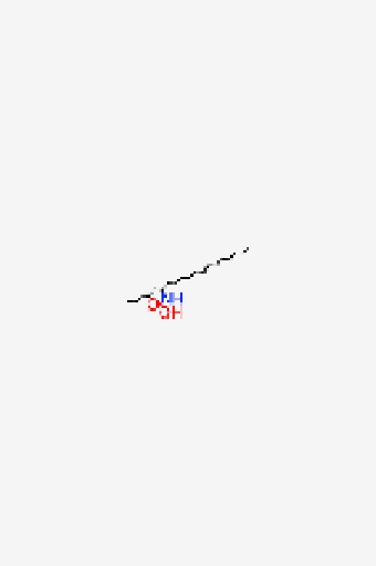 CCCCCCC=CCCCCCC(CCCCC)NC(=O)O